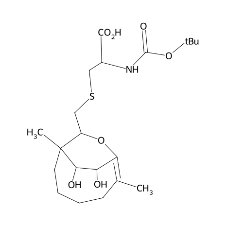 C/C1=C2/OC(CSCC(NC(=O)OC(C)(C)C)C(=O)O)C(C)(CCCC1)C(O)C2O